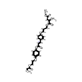 C=CC(=O)OCCOc1ccc(OC(=O)/C=C/c2ccc(OCCCOC(=O)C(=C)CC(=O)OC)cc2)cc1